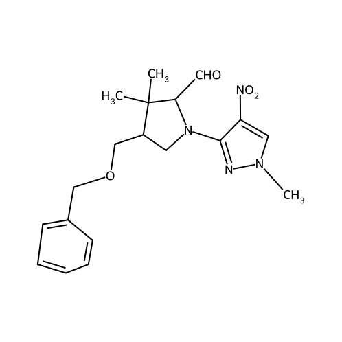 Cn1cc([N+](=O)[O-])c(N2CC(COCc3ccccc3)C(C)(C)C2C=O)n1